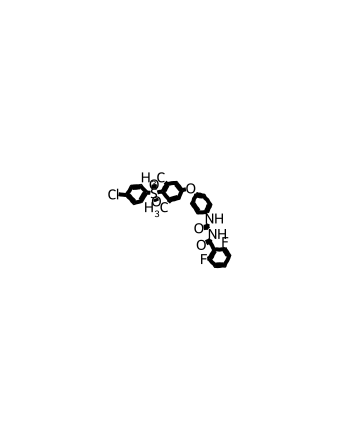 Cc1cc(Oc2ccc(NC(=O)NC(=O)c3c(F)cccc3F)cc2)cc(C)c1S(=O)(=O)c1ccc(Cl)cc1